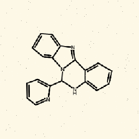 c1ccc(C2Nc3ccccc3-c3nc4ccccc4n32)nc1